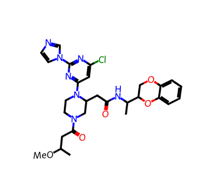 COC(C)CC(=O)N1CCN(c2cc(Cl)nc(-n3ccnc3)n2)C(CC(=O)NC(C)C2COc3ccccc3O2)C1